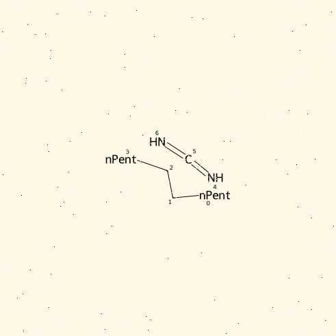 CCCCCCCCCCCC.N=C=N